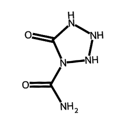 NC(=O)N1NNNC1=O